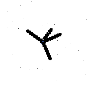 CCCCCCCCCCCCCC[N+](CCCCCCCCCCC)(CCCCCCCCCCCCCC)CCCCCCCCCCCCCC